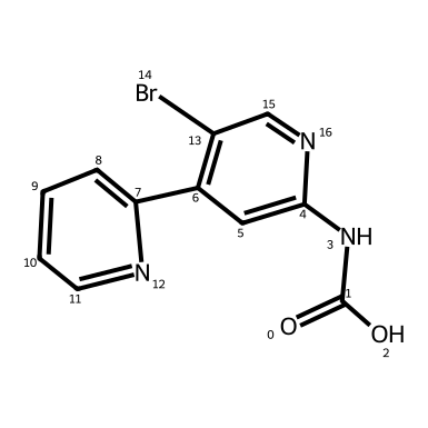 O=C(O)Nc1cc(-c2ccccn2)c(Br)cn1